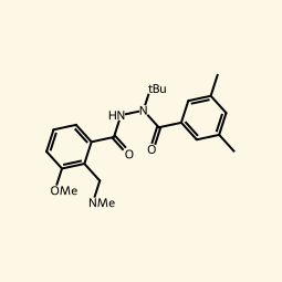 CNCc1c(OC)cccc1C(=O)NN(C(=O)c1cc(C)cc(C)c1)C(C)(C)C